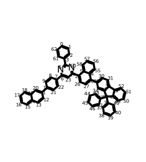 c1ccc(-c2nc(-c3ccc(-c4ccc5ccccc5c4)cc3)cc(-c3ccc(-c4ccc5c(c4)C(c4ccccc4)(c4ccccc4)c4ccccc4-5)c4ccccc34)n2)cc1